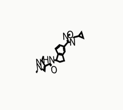 Cc1nn(C)cc1C(=O)NC1CCc2cc(-c3noc(C4CC4)n3)ccc21